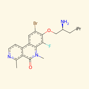 Cc1nccc2c1c(=O)n(C)c1c(F)c(OC[C@@H](N)CC(C)C)c(Br)cc21